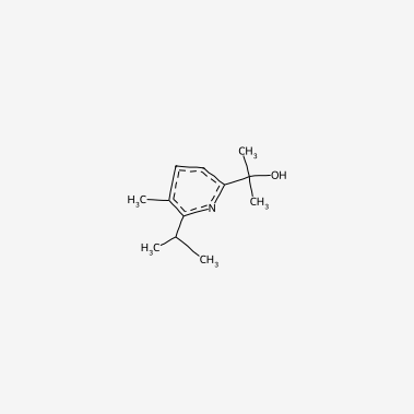 Cc1ccc(C(C)(C)O)nc1C(C)C